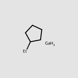 [CH2]CC1CCCC1.[GaH3]